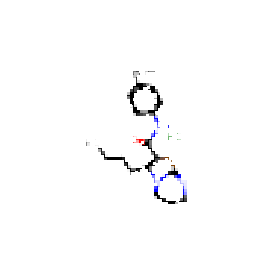 CCCCCCCCc1ccc(NC(=O)C2=C(CCCC#N)N3CCCN=C3S2)cc1.Cl